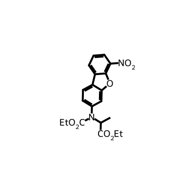 CCOC(=O)C(C)N(C(=O)OCC)c1ccc2c(c1)oc1c([N+](=O)[O-])cccc12